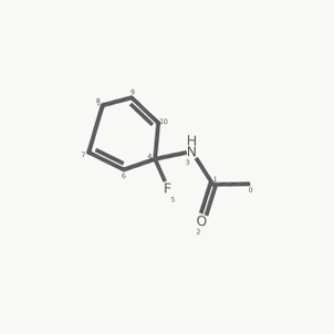 CC(=O)NC1(F)C=C[CH]C=C1